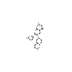 Cc1cc(=O)c2cc(-c3ccc4ncccc4c3)c(-c3ccc(C)s3)nc2[nH]1